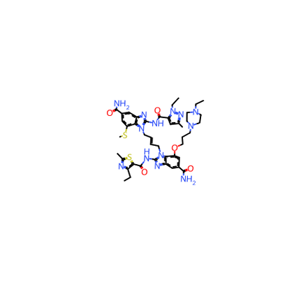 CCc1nc(C)sc1C(=O)Nc1nc2cc(C(N)=O)cc(OCCCN3CCN(CC)CC3)c2n1C/C=C/Cn1c(NC(=O)c2cc(C)nn2CC)nc2cc(C(N)=O)cc(SC)c21